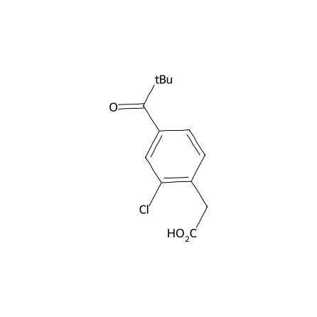 CC(C)(C)C(=O)c1ccc(CC(=O)O)c(Cl)c1